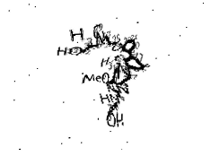 COc1nc(CNCCO)nc2c1CN(c1cccc(-c3cccc(OCCCN(C)CCCO)c3)c1C)C2